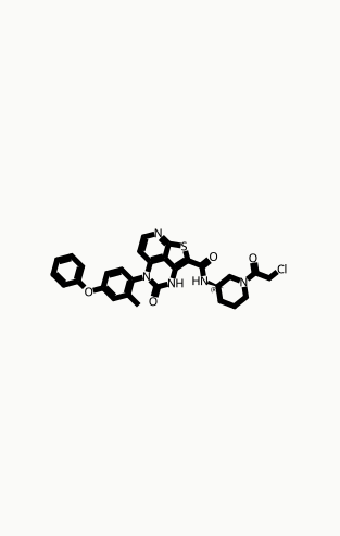 Cc1cc(Oc2ccccc2)ccc1N1C(=O)Nc2c(C(=O)N[C@@H]3CCCN(C(=O)CCl)C3)sc3nccc1c23